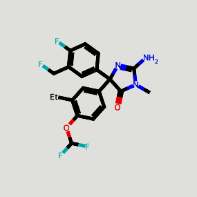 CCc1cc(C2(c3ccc(F)c(CF)c3)N=C(N)N(C)C2=O)ccc1OC(F)F